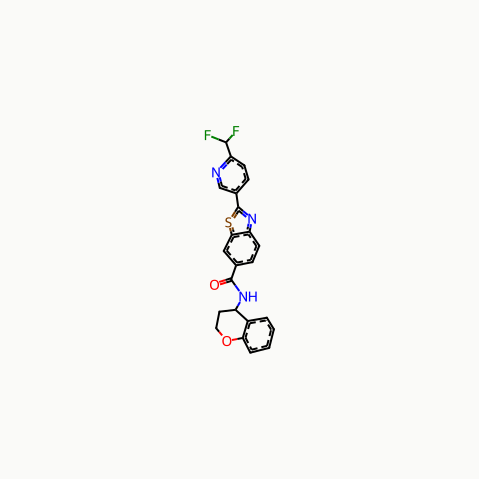 O=C(NC1CCOc2ccccc21)c1ccc2nc(-c3ccc(C(F)F)nc3)sc2c1